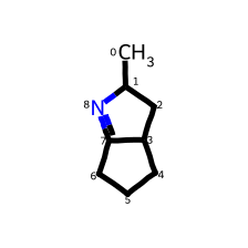 CC1CC2CCCC2=N1